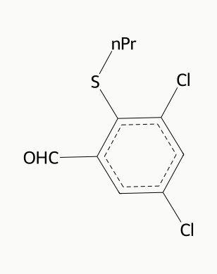 CCCSc1c(Cl)cc(Cl)cc1C=O